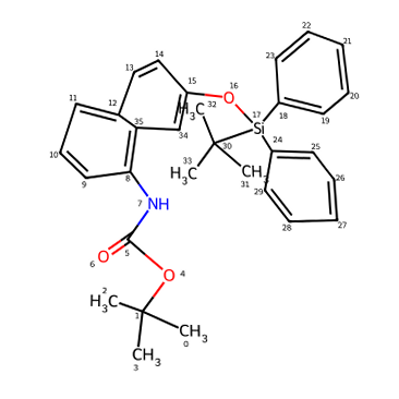 CC(C)(C)OC(=O)Nc1cccc2ccc(O[Si](c3ccccc3)(c3ccccc3)C(C)(C)C)cc12